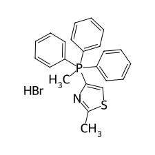 Br.Cc1nc(P(C)(c2ccccc2)(c2ccccc2)c2ccccc2)cs1